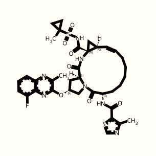 Cc1nc2cccc(F)c2nc1O[C@@H]1C[C@H]2C(=O)N[C@]3(C(=O)NS(=O)(=O)C4(C)CC4)C[C@H]3C=CCCCCC[C@H](NC(=O)c3scnc3C)C(=O)N2C1